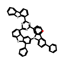 c1ccc(-c2ccc3c(c2)c2ccccc2n3-c2cc(-c3ccccc3)c3oc4cccc(-c5nc(-c6ccccc6)nc(-c6cccc7c6sc6ccccc67)n5)c4c3c2)cc1